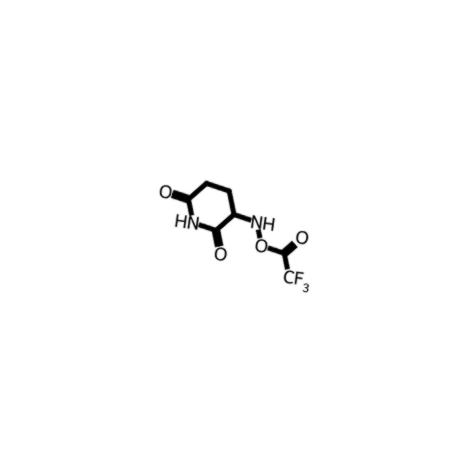 O=C1CCC(NOC(=O)C(F)(F)F)C(=O)N1